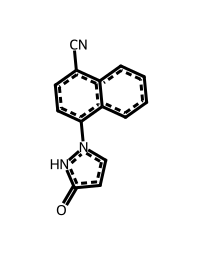 N#Cc1ccc(-n2ccc(=O)[nH]2)c2ccccc12